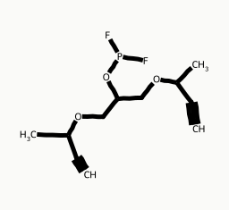 C#CC(C)OCC(COC(C)C#C)OP(F)F